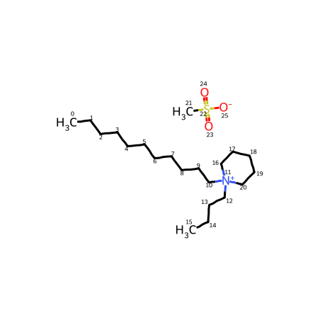 CCCCCCCCCCC[N+]1(CCCC)CCCCC1.CS(=O)(=O)[O-]